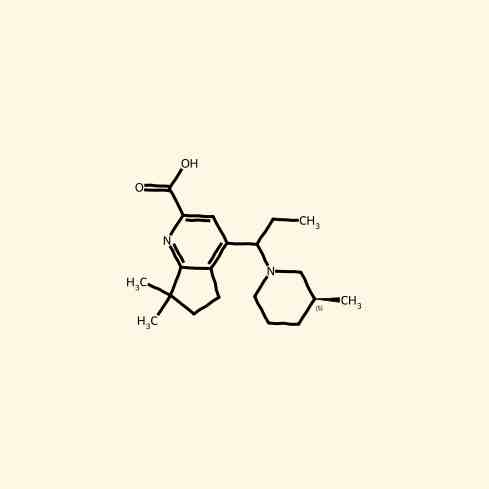 CCC(c1cc(C(=O)O)nc2c1CCC2(C)C)N1CCC[C@H](C)C1